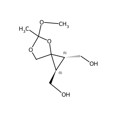 COC1(C)OCC2(O1)[C@H](CO)[C@H]2CO